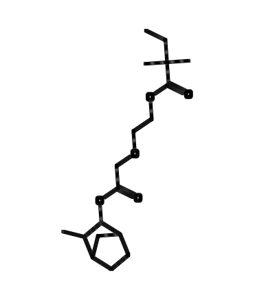 CCC(C)(C)C(=O)OCCOCC(=O)OC1C2CCC(C2)C1C